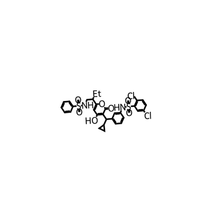 CCC(CNS(=O)(=O)c1ccccc1)c1cc(O)c(C(c2cccc(NS(=O)(=O)c3cc(Cl)ccc3Cl)c2)C2CC2)c(=O)o1